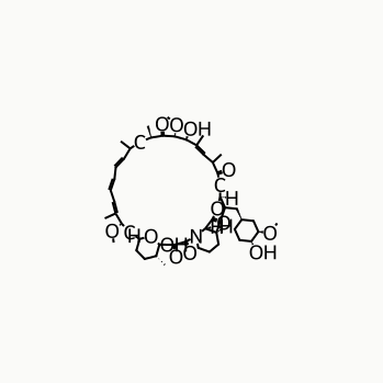 CO[C@H]1C[C@@H]2CC[C@@H](C)[C@@](O)(O2)C(=O)C(=O)N2CCC[C@@H]3C(C[C@@H]4CC[C@@H](O)[C@H](OC)C4)[C@H](CC(=O)C(C)/C=C(\C)[C@H](O)[C@@H](OC)C(=O)[C@H](C)CC(C)/C=C/C=C/C=C/1C)OC(=O)[C@H]32